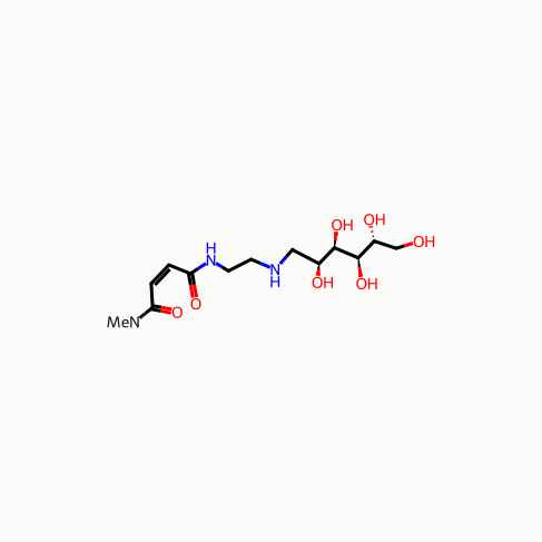 CNC(=O)/C=C\C(=O)NCCNC[C@H](O)[C@@H](O)[C@H](O)[C@H](O)CO